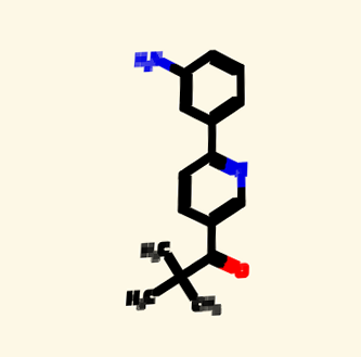 CC(C)(C)C(=O)c1ccc(-c2cccc(N)c2)nc1